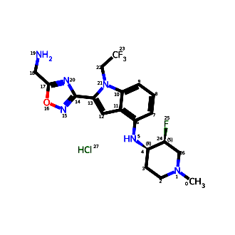 CN1CC[C@@H](Nc2cccc3c2cc(-c2noc(CN)n2)n3CC(F)(F)F)[C@@H](F)C1.Cl